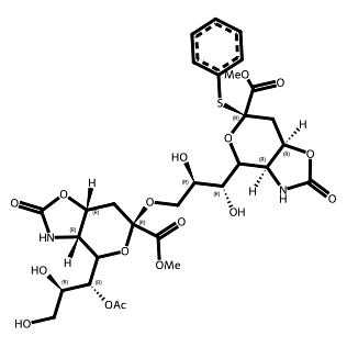 COC(=O)[C@@]1(OC[C@@H](O)[C@@H](O)C2O[C@](Sc3ccccc3)(C(=O)OC)C[C@H]3OC(=O)N[C@@H]23)C[C@H]2OC(=O)N[C@H]2C([C@H](OC(C)=O)[C@H](O)CO)O1